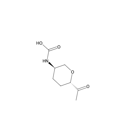 CC(=O)[C@@H]1CC[C@@H](NC(=O)O)CO1